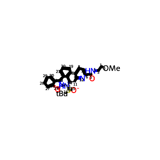 COCCNC(=O)c1cccc(C[C@H](N[S@@+]([O-])C(C)(C)C)c2ccccc2-c2noc3ccccc23)n1